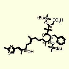 CC(=CC[C@H](O)C(C)=Cc1csc(C)n1)CCC[C@H](C)[C@@H](O[Si](C)(C)C(C)(C)C)[C@H](Cc1ccccc1)C(=O)C(C)(C)[C@H](CC(=O)O)O[Si](C)(C)C(C)(C)C